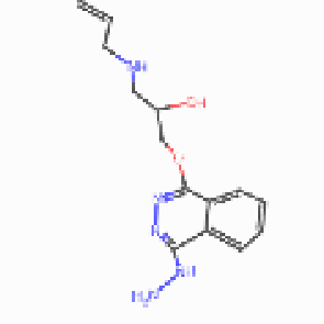 C=CCNCC(O)COc1nnc(NN)c2ccccc12